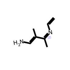 C=C/N=C(/C)C(C)=CN